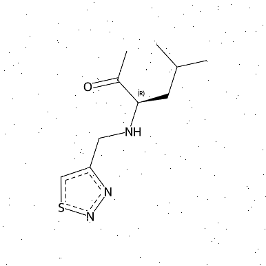 CC(=O)[C@@H](CC(C)C)NCc1csnn1